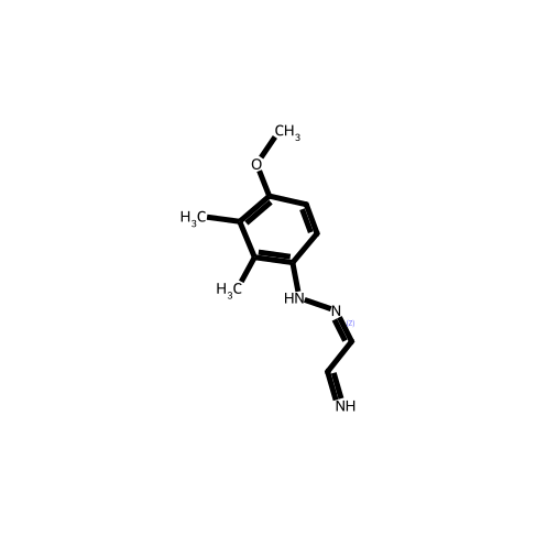 COc1ccc(N/N=C\C=N)c(C)c1C